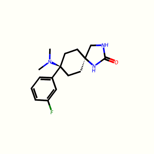 CN(C)[C@]1(c2cccc(F)c2)CC[C@]2(CC1)CNC(=O)N2